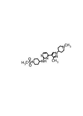 Cc1nn(C2CCN(C)CC2)cc1-c1ccnc(NC2CCN(S(C)(=O)=O)CC2)n1